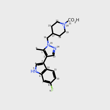 Cc1c(-c2c[nH]c3cc(F)ccc23)cnn1CC1CCN(C(=O)O)CC1